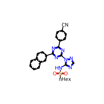 CCCCCCS(=O)(=O)Nc1ncnn1-c1nc(-c2ccc(C#N)cc2)nc(-c2ccc3ccccc3c2)n1